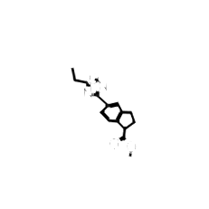 CCc1nc(-c2ccc3c(c2)CCC3C(=O)OC)no1